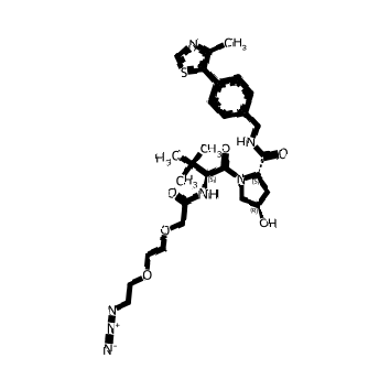 Cc1ncsc1-c1ccc(CNC(=O)[C@@H]2C[C@@H](O)CN2C(=O)[C@@H](NC(=O)COCCOCCN=[N+]=[N-])C(C)(C)C)cc1